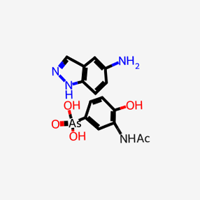 CC(=O)Nc1cc([As](=O)(O)O)ccc1O.Nc1ccc2[nH]ncc2c1